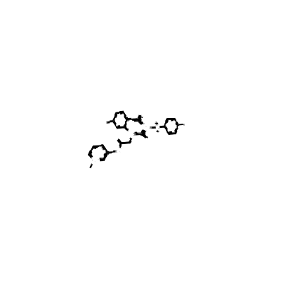 C[n+]1cccc(NC(=O)Cn2c(=O)n(S(=O)(=O)c3ccc(Cl)cc3)c(=O)c3ccc(Cl)cc32)c1.[I-]